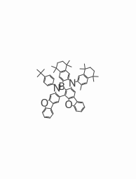 Cc1cc2c(cc1N1c3cc4c(cc3B3c5c1cc1c(oc6ccccc61)c5-c1cc5c(cc1N3c1ccc(C(C)(C)C)cc1)oc1ccccc15)C(C)(C)CCC4(C)C)C(C)(C)CCC2(C)C